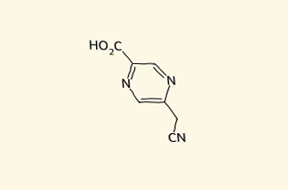 N#CCc1cnc(C(=O)O)cn1